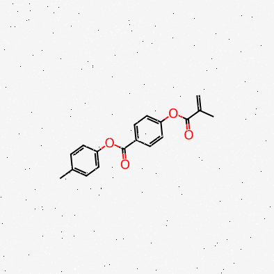 C=C(C)C(=O)Oc1ccc(C(=O)Oc2ccc(C)cc2)cc1